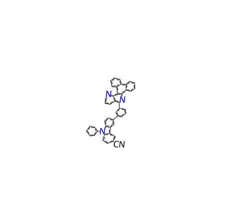 N#Cc1ccc2c(c1)c1cc(-c3cccc(-c4nc5c6ccccc6c6ccccc6c5c5ncccc45)c3)ccc1n2-c1ccccc1